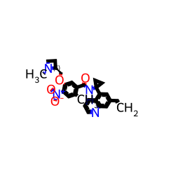 C=Cc1cc(C2(NC(=O)c3cc(OC[C@@H]4CCN4C)c([N+](=O)[O-])cc3C)CC2)c2cccnc2c1